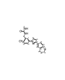 CNC(=O)NCc1cc(-n2ccc(-c3ccc4c(c3)CCCO4)n2)ccc1Cl